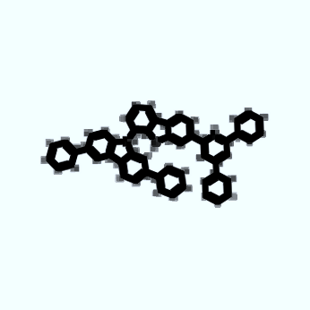 c1ccc(-c2cc(-c3ccccc3)nc(-c3ccc4c(c3)oc3c(-n5c6ccc(-c7ccccc7)cc6c6ccc(-c7ccccc7)cc65)cccc34)c2)cc1